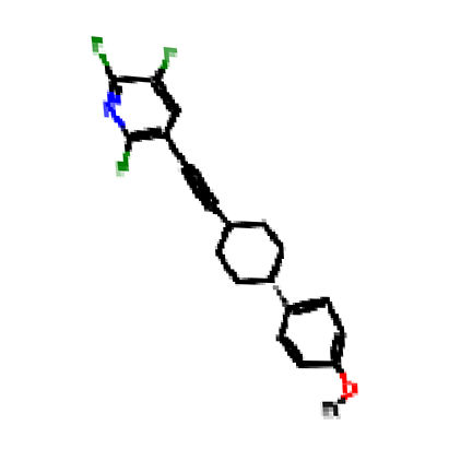 CCOc1ccc([C@H]2CC[C@H](C#Cc3cc(F)c(F)nc3F)CC2)cc1